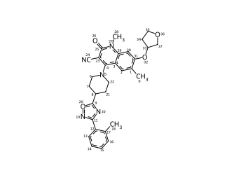 Cc1cc2c(N3CCC(c4nc(-c5ccccc5C)no4)CC3)c(C#N)c(=O)n(C)c2cc1OC1CCOC1